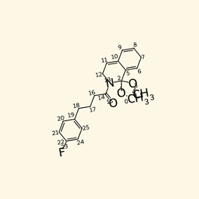 COC1(OC)C2=CCC=CC2=CCN1C(=O)CCCc1ccc(F)cc1